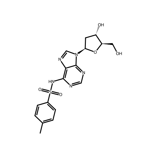 Cc1ccc(S(=O)(=O)Nc2ncnc3c2ncn3[C@H]2C[C@H](O)[C@@H](CO)O2)cc1